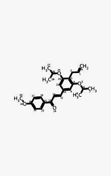 C=CCc1c(OC(C)C)cc(/C=C/C(=O)c2ccc(OC)cc2)cc1OC(C)C